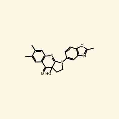 Cc1nc2cc(N3CCC4(O)C(=O)c5cc(C)c(C)cc5N=C34)ccc2o1